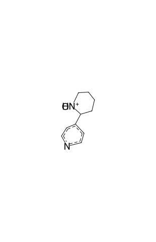 [O-][NH+]1CCCCC1c1ccncc1